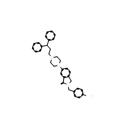 COc1ccc(CN2Cc3ccc(N4CCN(CCC(c5ccccc5)c5ccccc5)CC4)cc3C2=O)cc1